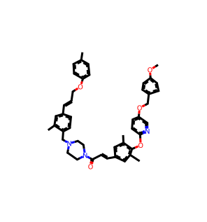 COc1ccc(COc2ccc(Oc3c(C)cc(C=CC(=O)N4CCN(Cc5ccc(C=CCOc6ccc(C)cc6)cc5C)CC4)cc3C)nc2)cc1